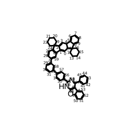 C1=C2C(=CC3c4ccccc4C4(CCCCC4)C13)C1(CCCCC1)c1ccc(-c3cccc(-c4ccc(C5N=C(c6ccccc6)c6c(oc7ccccc67)N5)cc4)c3)cc12